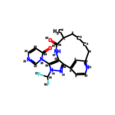 CC1CCCCc2cc(ccn2)-c2nn(C(F)F)c(-n3cnccc3=O)c2NC1=O